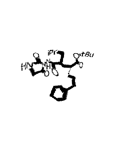 CC(C)CC(C(=O)NN1C(=O)CNC1=O)[C@@H](C/C=C\c1ccccc1)C(=O)OC(C)(C)C